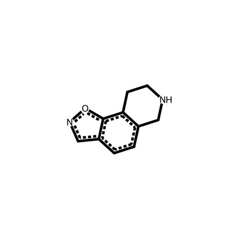 c1cc2cnoc2c2c1CNCC2